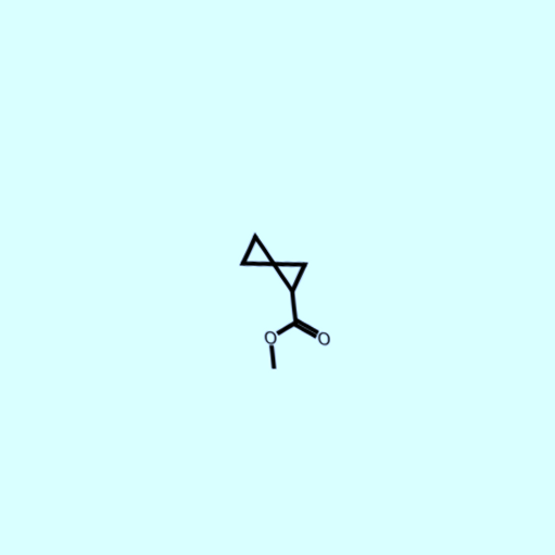 COC(=O)C1CC12CC2